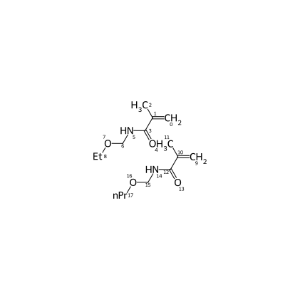 C=C(C)C(=O)NCOCC.C=C(C)C(=O)NCOCCC